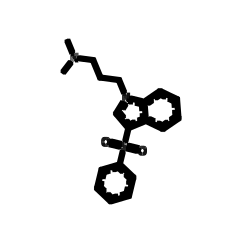 CN(C)CCCn1cc(S(=O)(=O)c2ccccc2)c2ccccc21